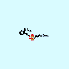 CCCCCCCCCCCCCCS(=O)(=O)OC/C=C/c1ccccc1[N+](=O)[O-]